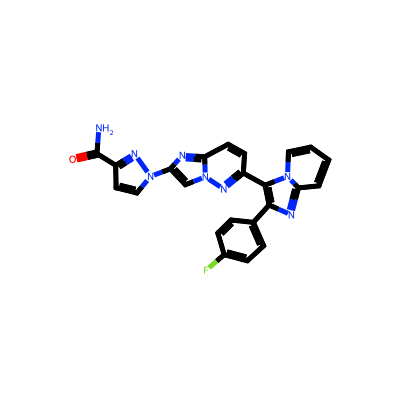 NC(=O)c1ccn(-c2cn3nc(-c4c(-c5ccc(F)cc5)nc5ccccn45)ccc3n2)n1